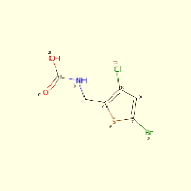 O=C(O)NCc1sc(Br)cc1Cl